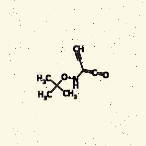 C#CC(=C=O)NOC(C)(C)C